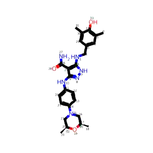 Cc1cc(CNc2[nH]nc(Nc3ccc(N4C[C@@H](C)O[C@@H](C)C4)cc3)c2C(N)=O)cc(C)c1O